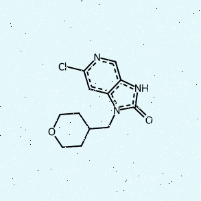 O=c1[nH]c2cnc(Cl)cc2n1CC1CCOCC1